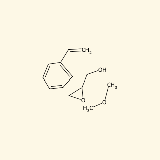 C=Cc1ccccc1.COC.OCC1CO1